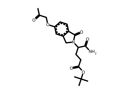 CC(=O)COc1ccc2c(c1)CN(C(CCC(=O)OC(C)(C)C)C(N)=O)C2=O